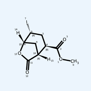 COC(=O)[C@@H]1C[C@@H](I)[C@@H]2C[C@H]1C(=O)O2